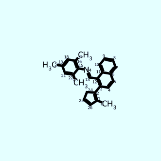 CC1=C(c2ccc3ccccc3c2/C=N/c2c(C)cc(C)cc2C)CC=C1